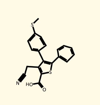 CSc1ccc(-c2c(-c3ccccc3)sc(C(=O)O)c2CC#N)cc1